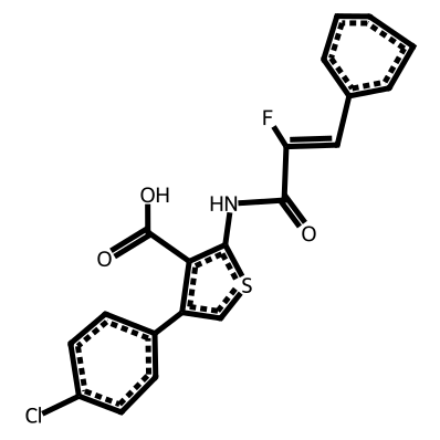 O=C(Nc1scc(-c2ccc(Cl)cc2)c1C(=O)O)C(F)=Cc1ccccc1